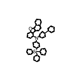 c1ccc(-c2ccc(N(c3ccc([Si](c4ccccc4)(c4ccccc4)c4ccccc4)cc3)c3cccc4oc5c6ccccc6ccc5c34)cc2)cc1